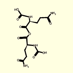 NC(=O)CC[C@H](NC(=O)O)C(=O)OC(=O)[C@H](CCC(N)=O)NC(=O)O